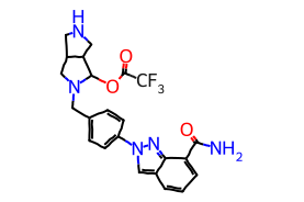 NC(=O)c1cccc2cn(-c3ccc(CN4CC5CNCC5C4OC(=O)C(F)(F)F)cc3)nc12